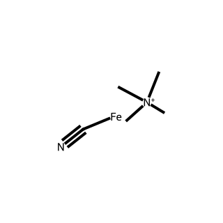 C[N+](C)(C)C.N#[C][Fe]